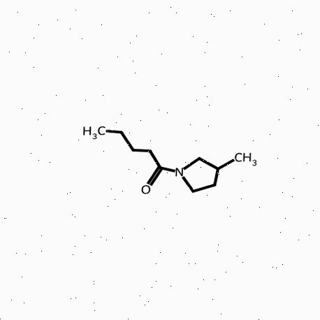 CCCCC(=O)N1CCC(C)C1